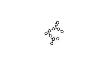 c1ccc(-c2ccc(N(c3ccc(-c4ccc5c6ccccc6n(-c6ccc(-c7nc(-c8ccccc8)cc(-c8ccccc8)n7)cc6)c5c4)cc3)c3ccc4ccccc4c3)cc2)cc1